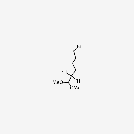 [2H]C([2H])(CCCCBr)C(OC)OC